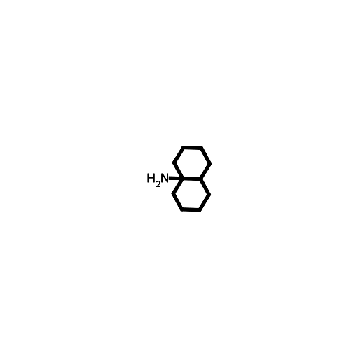 NC12CCCCC1CCCC2